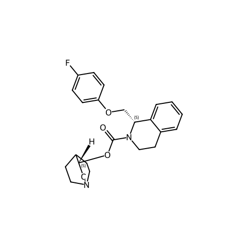 O=C(O[C@@H]1CN2CCC1CC2)N1CCc2ccccc2[C@H]1COc1ccc(F)cc1